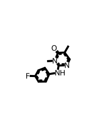 Cc1cnc(Nc2ccc(F)cc2)n(C)c1=O